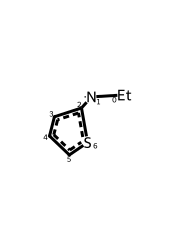 CC[N]c1cccs1